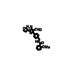 COc1ccccc1C(=O)NCc1ccc(-c2nn(C3CCOC3)c(N)c2C=O)cc1